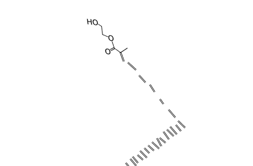 C=C.C=C.C=C.C=C.C=C.C=C.C=C.C=C.C=C.C=C.C=C.C=C.C=C.C=C.C=C.C=C.C=C.C=C.C=C.C=C.C=C(C)C(=O)OCCO